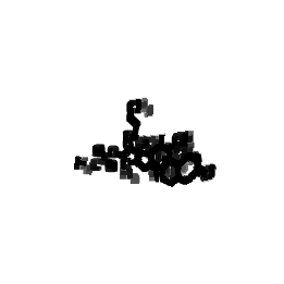 CCCC(=O)O[C@]1(C(=O)COS(C)(=O)=O)C(C)C[C@H]2[C@@H]3CCC4CC(=O)CC[C@]4(C)[C@@]3(F)C(O)C[C@@]21C